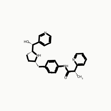 C[C@H](C(=O)Nc1ccc(C[C@@H]2CC[C@H]([C@H](O)c3cccnc3)N2)cc1)c1ccccn1